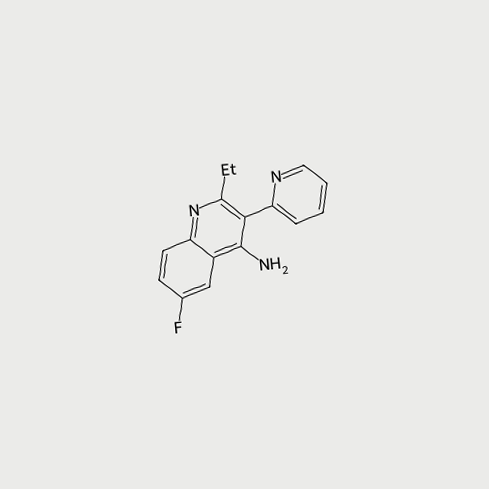 [CH2]Cc1nc2ccc(F)cc2c(N)c1-c1ccccn1